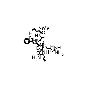 C=CC[C@H](NC(=O)[C@H](CCCNC(=N)N)NC(=O)[C@H](Cc1c[nH]c2ccccc12)NC(=O)[C@H](C)NC(=O)[C@H](CC=C)NC)C(N)=O